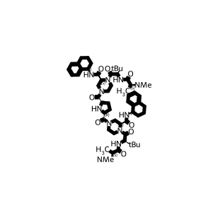 CN[C@@H](C)C(=O)N[C@H](C(=O)N1CCN(C(=O)[C@@H]2CC[C@H](C(=O)N3CCN(C(=O)[C@@H](NC(=O)[C@H](C)NC)C(C)(C)C)[C@H](C(=O)N[C@@H]4CCCc5ccccc54)C3)N2)C[C@H]1C(=O)N[C@@H]1CCCc2ccccc21)C(C)(C)C